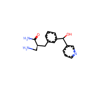 NC[C@H](Cc1cccc(C(O)c2cccnc2)c1)C(N)=O